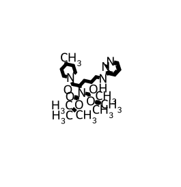 CC1CCN(C(=O)C(CCCNc2cccnn2)N(C(=O)OC(C)(C)C)C(=O)OC(C)(C)C)CC1